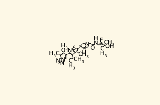 Cc1c(-c2[nH]c3sc([C@@H]4CC5C[C@H]4CN5CC(=O)NC[C@@H](F)C(C)(C)O)c(C)c3c2C(C)C)cn2ncnc2c1C